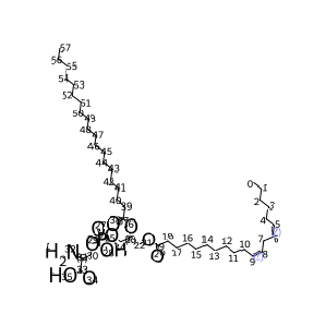 CCCCC/C=C\C/C=C\CCCCCCCCCC(=O)OC[C@H](COP(=O)(O)OC[C@H](N)C(=O)O)OC(=O)CCCCCCCCCCCCCCCCCCC